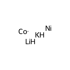 [Co].[KH].[LiH].[Ni]